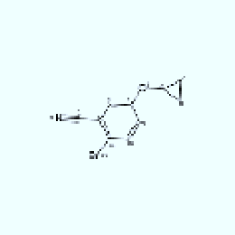 N#Cc1cc(OC2CC2)ccc1Br